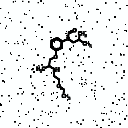 CCOCCNC(C)COc1cccc(N(C=O)CC(C)C)c1